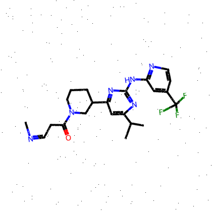 C/N=C\CC(=O)N1CCCC(c2cc(C(C)C)nc(Nc3cc(C(F)(F)F)ccn3)n2)C1